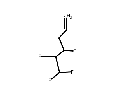 C=CCC(F)C(F)C(F)F